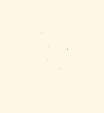 CC1OC(C)(C)N(C(=O)OC(C)(C)C)C1Cn1c(=O)n(C)c2ccc(Nc3ccnc(Cl)c3C#N)cc21